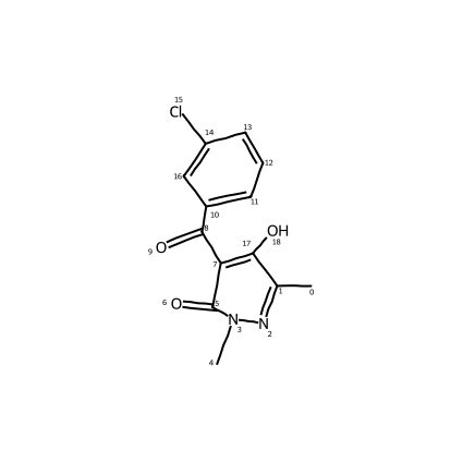 Cc1nn(C)c(=O)c(C(=O)c2cccc(Cl)c2)c1O